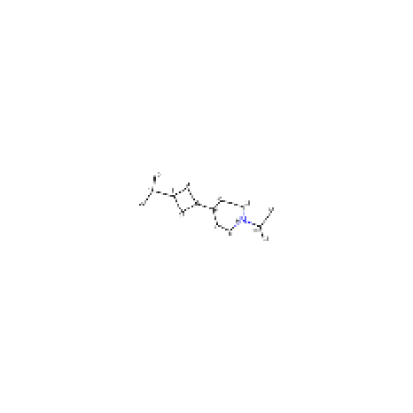 CC(C)C1CC(C2CCN(C(C)C)CC2)C1